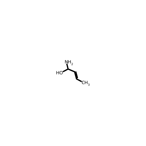 CC=CC(N)O